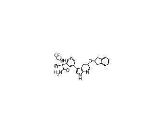 CC(C)[C@](NCC(F)(F)F)(C(N)=O)c1cncc(-c2c[nH]c3ncc(OC4Cc5ccccc5C4)cc23)c1